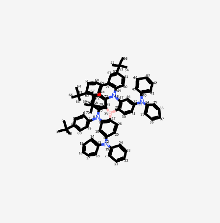 CC(C)(C)c1ccc(N2c3cc(N(c4ccccc4)c4ccccc4)ccc3B3c4ccc(N(c5ccccc5)c5ccccc5)cc4N(c4ccc(C(C)(C)C)cc4-c4ccc(C(C)(C)C)c(C(C)(C)C)c4)c4cccc2c43)cc1